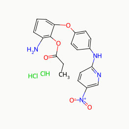 CCC(=O)Oc1c(N)cccc1Oc1ccc(Nc2ccc([N+](=O)[O-])cn2)cc1.Cl.Cl